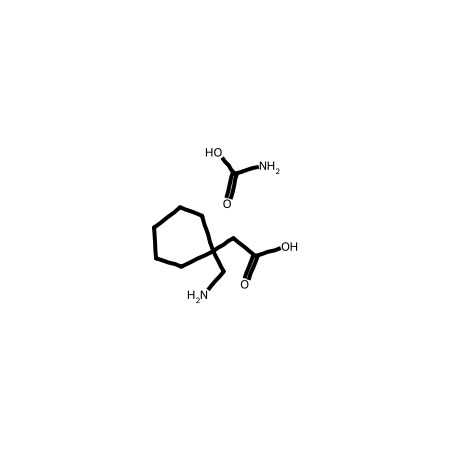 NC(=O)O.NCC1(CC(=O)O)CCCCC1